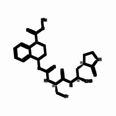 CC(C)C[C@H](NC(=O)OC1CCN(C(=O)OC(C)(C)C)c2ccccc21)C(=O)N[C@H](C=O)C[C@@H]1CCNC1=O